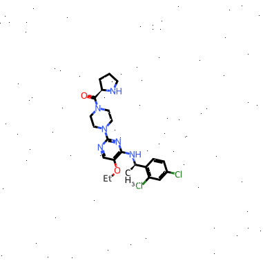 CCOc1cnc(N2CCN(C(=O)[C@H]3CCCN3)CC2)nc1N[C@H](C)c1ccc(Cl)cc1Cl